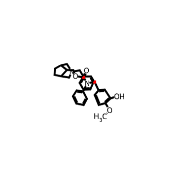 COc1ccc(CN(C(=O)OCC2C3CCC2CN(Cc2ccccc2)C3)c2ccccc2)cc1O